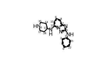 c1ccc(Nc2nc3cccc(NC4CCNCC4)n3n2)cc1